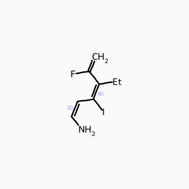 C=C(F)/C(CC)=C(I)\C=C/N